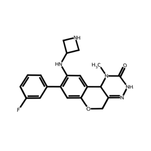 CN1C(=O)NN=C2COc3cc(-c4cccc(F)c4)c(NC4CNC4)cc3C21